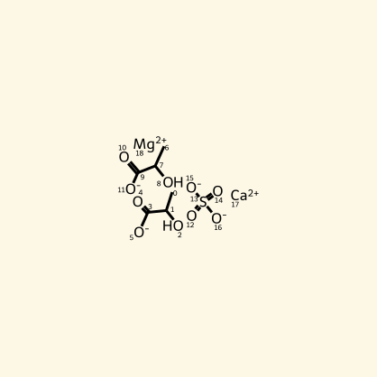 CC(O)C(=O)[O-].CC(O)C(=O)[O-].O=S(=O)([O-])[O-].[Ca+2].[Mg+2]